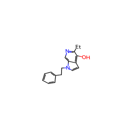 [CH2]Cc1ncc2c(ccn2CCc2ccccc2)c1O